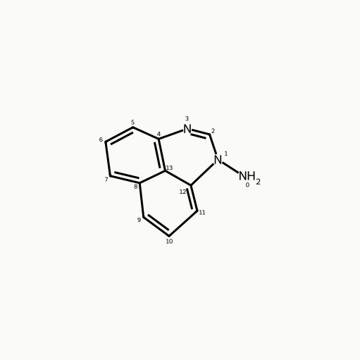 NN1C=Nc2cccc3cccc1c23